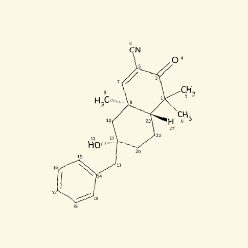 CC1(C)C(=O)C(C#N)=C[C@]2(C)C[C@](O)(Cc3ccccc3)CC[C@@H]12